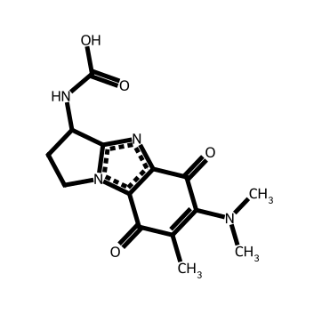 CC1=C(N(C)C)C(=O)c2nc3n(c2C1=O)CCC3NC(=O)O